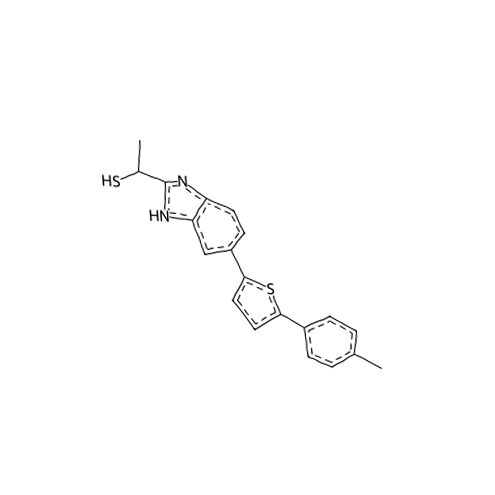 Cc1ccc(-c2ccc(-c3ccc4nc(C(C)S)[nH]c4c3)s2)cc1